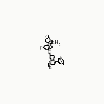 NC(=O)C1(c2cc(F)cc(OCc3ccc4c(-c5cncnc5)cc5nccn5c4c3)c2)CCOCC1